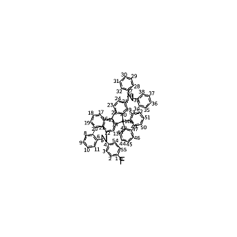 Fc1ccc(N(c2ccccc2)c2cc3c(c4ccccc24)-c2ccc(N(c4ccccc4)c4ccccc4)cc2C3(c2ccccc2)c2ccccc2)cc1